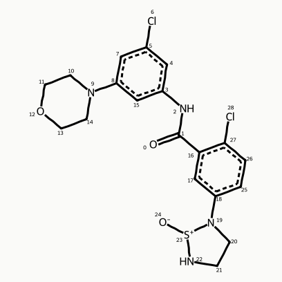 O=C(Nc1cc(Cl)cc(N2CCOCC2)c1)c1cc(N2CCN[S+]2[O-])ccc1Cl